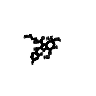 CNCCNC(=O)c1c(Nc2ccc(I)cc2F)sc2c1CC(C)(C)CNC2=O.Cl